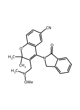 CON(C)CC1=C(N2Cc3ccccc3C2=O)c2cc(C#N)ccc2OC1(C)C